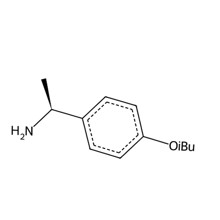 CC(C)COc1ccc([C@H](C)N)cc1